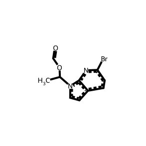 CC(OC=O)n1ccc2ccc(Br)nc21